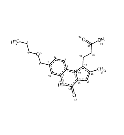 CCCOCc1ccc2c(c1)[nH]c(=O)c1cc(C)c(CCC(=O)O)n12